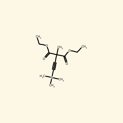 CCOC(=O)C(C)(C#C[Si](C)(C)C)C(=O)OCC